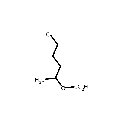 CC(CCCCl)OC(=O)O